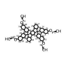 C#CCOc1ccc2cc(C3(c4ccc5cc(OCC#C)ccc5c4)c4ccccc4-c4cc5c(cc43)-c3ccccc3C5(c3ccc4cc(OCC#C)ccc4c3)c3ccc4cc(OCC#C)ccc4c3)ccc2c1